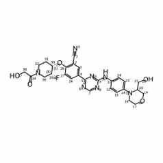 N#Cc1cc(-c2ncnc(Nc3ccc(N4CCOCC4CO)cc3)n2)ccc1O[C@H]1CCN(C(=O)CO)C[C@H]1F